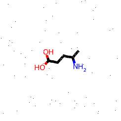 CC(N)CCC(O)O